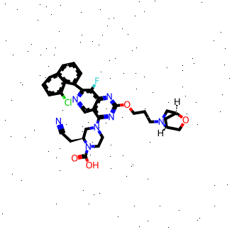 N#CC[C@H]1CN(c2nc(OCCCN3C[C@@H]4C[C@H]3CO4)nc3c(F)c(-c4cccc5cccc(Cl)c45)ncc23)CCN1C(=O)O